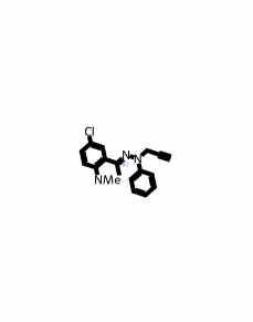 C#CCN(/N=C(\C)c1cc(Cl)ccc1NC)c1ccccc1